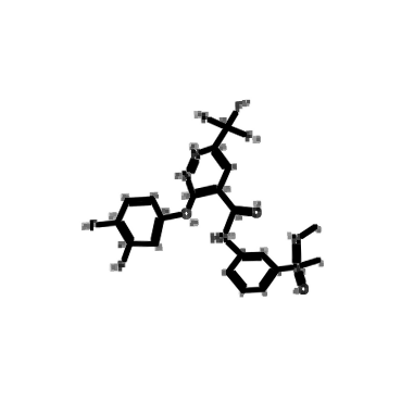 CN=S(C)(=O)c1cccc(NC(=O)c2cc(C(F)(F)F)nnc2Oc2ccc(F)c(F)c2)c1